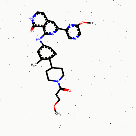 COCCC(=O)N1CCC(c2ccc(Nc3nc(-c4cncc(OC)n4)cc4cc[nH]c(=O)c34)cc2C)CC1